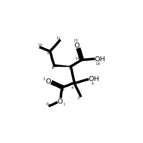 COC(=O)C(C)(O)[C@@H](CC(C)C)C(=O)O